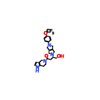 O=C(CC(CO)N1CC2=C(CN(c3ccc(OC(F)(F)F)cc3)C2)C1)N1CCc2[nH]ccc2C1